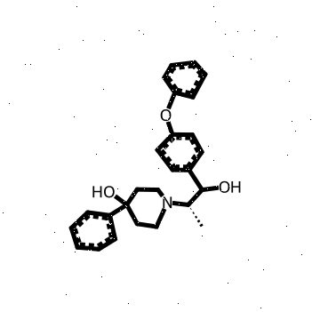 C[C@@H](C(O)c1ccc(Oc2ccccc2)cc1)N1CCC(O)(c2ccccc2)CC1